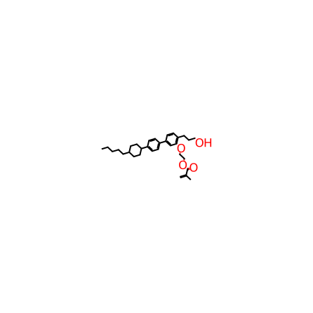 C=C(C)C(=O)OCCOc1cc(-c2ccc(C3CCC(CCCCC)CC3)cc2)ccc1CCCO